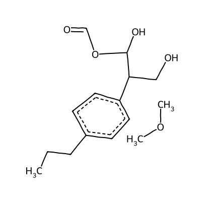 CCCc1ccc(C(CO)C(O)OC=O)cc1.COC